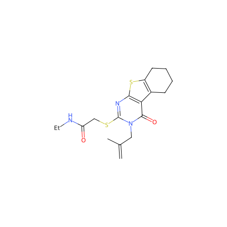 C=C(C)Cn1c(SCC(=O)NCC)nc2sc3c(c2c1=O)CCCC3